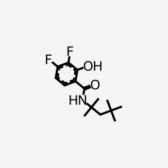 CC(C)(C)CC(C)(C)NC(=O)c1ccc(F)c(F)c1O